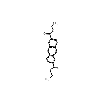 CCOC(=O)c1ccc2cc3cc(C(=O)OCC)ccc3cc2c1